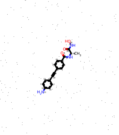 C[C@H](NC(=O)c1ccc(C#Cc2ccc(N)cc2)cc1)C(=O)NO